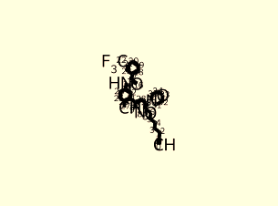 C#CCCCCOc1ncc(-c2cc(NC(=O)c3cccc(C(F)(F)F)c3)ccc2C)cc1N1CCOCC1